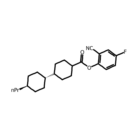 CCC[C@H]1CC[C@H](C2CCC(C(=O)Oc3ccc(F)cc3C#N)CC2)CC1